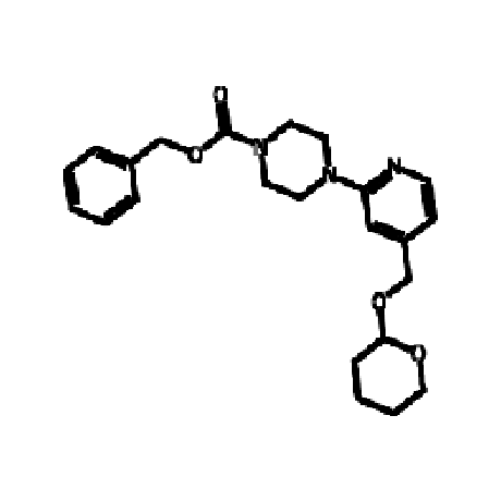 O=C(OCc1ccccc1)N1CCN(c2cc(COC3CCCCO3)ccn2)CC1